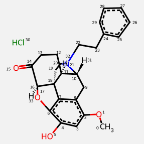 COc1cc(O)c2c3c1C[C@@H]1[C@@H]4CCC(=O)[C@H](O2)[C@]34CCN1CCc1ccccc1.Cl